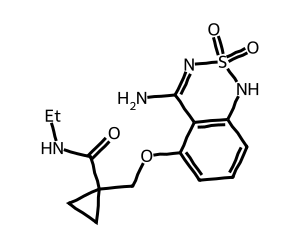 CCNC(=O)C1(COc2cccc3c2C(N)=NS(=O)(=O)N3)CC1